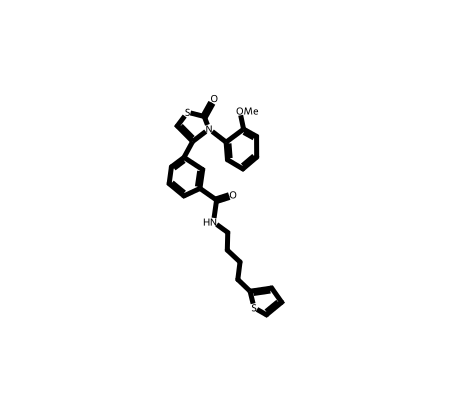 COc1ccccc1-n1c(-c2cccc(C(=O)NCCCCc3cccs3)c2)csc1=O